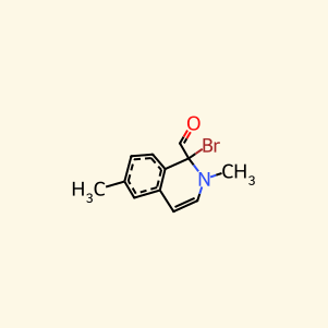 Cc1ccc2c(c1)C=CN(C)C2(Br)C=O